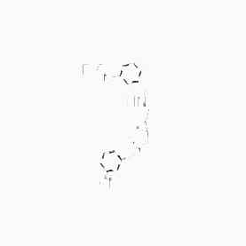 FC(F)(F)Oc1cccc(CNCC2C3CN(Cc4cccc(Cl)c4)CC23)c1